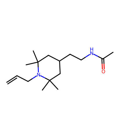 C=CCN1C(C)(C)CC(CCNC(C)=O)CC1(C)C